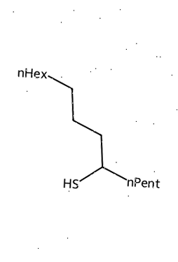 CCCCCCCCCC(S)CCCCC